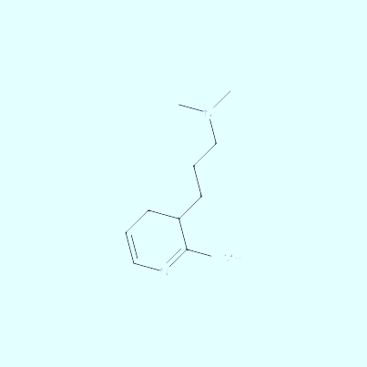 COC1=NC=CCC1CCCN(C)C